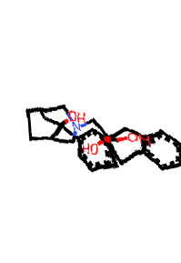 Oc1cccc(C2(O)C3CCC2CN(CC2(O)Cc4ccccc4C2)C3)c1